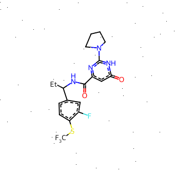 CCC(NC(=O)c1cc(=O)[nH]c(N2CCCC2)n1)c1ccc(SC(F)(F)F)c(F)c1